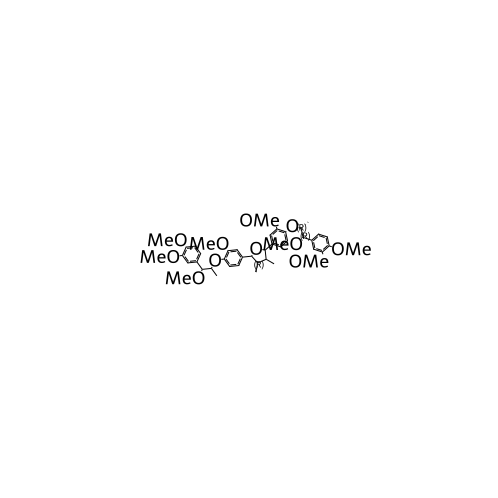 COc1ccc(C(OC)C(C)Oc2ccc(C3OC(c4ccc(O[C@H](C)[C@H](OC)c5ccc(OC)c(OC)c5)c(OC)c4)C(C)[C@H]3C)cc2OC)cc1OC